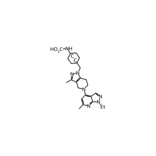 CCn1ncc2c(N3CCc4c(c(C)nn4CC45CCC(NC(=O)O)(CC4)CC5)C3)cc(C)nc21